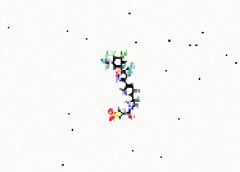 O=C(C1CS(=O)(=O)C1)N1CC(F)(c2ccc(C3=NOC(c4cc(Cl)c(Cl)c(C(F)(F)F)c4)(C(F)(F)F)C3)cn2)C1